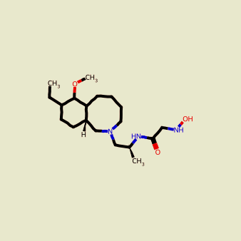 CCC1CC[C@H]2CN(C[C@H](C)NC(=O)CNO)CCCCC2C1OC